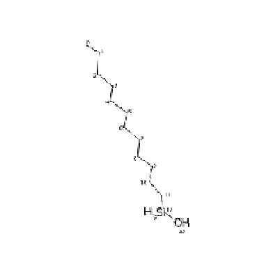 CCCCCCCCCCCC[SiH2]O